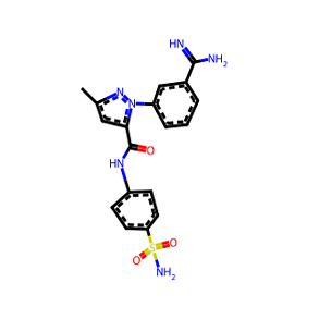 Cc1cc(C(=O)Nc2ccc(S(N)(=O)=O)cc2)n(-c2cccc(C(=N)N)c2)n1